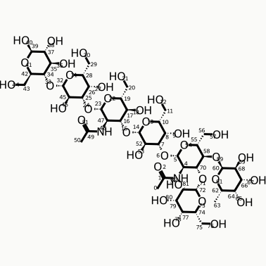 CC(=O)N[C@H]1[C@H](O[C@H]2[C@@H](O)[C@@H](CO)O[C@@H](O[C@H]3[C@H](O)[C@@H](CO)O[C@@H](O[C@H]4[C@@H](O)[C@@H](CO)O[C@@H](O[C@H]5[C@H](O)[C@@H](O)[C@H](O)O[C@@H]5CO)[C@@H]4O)[C@@H]3NC(C)=O)[C@@H]2O)O[C@H](CO)[C@@H](O[C@@H]2O[C@@H](C)[C@@H](O)[C@@H](O)[C@@H]2O)[C@@H]1O[C@@H]1O[C@H](CO)[C@H](O)[C@H](O)[C@H]1O